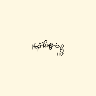 Cc1cc(C(=O)N2CCC(C)(O)CC2)cc(C)c1C=CS(=O)(=O)N1CCC2(CC1)N=C(c1ccc(OC(F)(F)F)c(F)c1)NC2=O